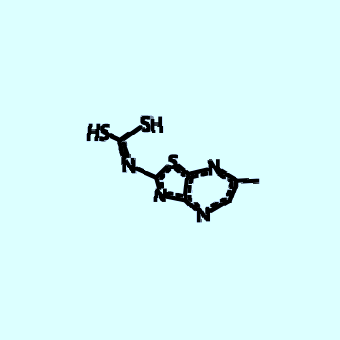 Cc1cnc2nc(N=C(S)S)sc2n1